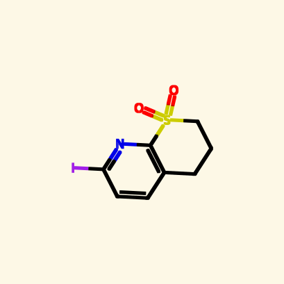 O=S1(=O)CCCc2ccc(I)nc21